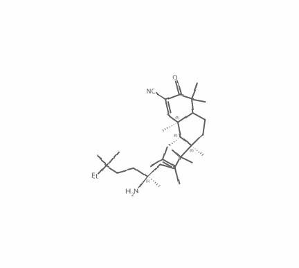 CC=C(C)C[C@@H]1[C@@]2(C)C=C(C#N)C(=O)C(C)(C)C2CC[C@@]1(C)C(C)(C)CC[C@@](C)(N)CCC(C)(C)CC